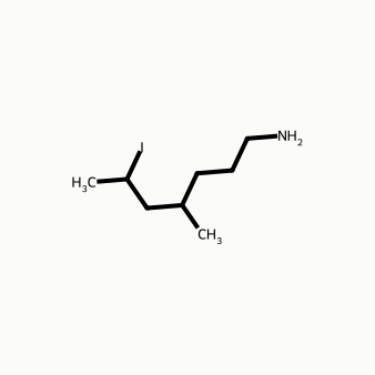 CC(I)CC(C)CCCN